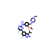 CCOc1cc(Nc2ncc(F)c(-c3cc(F)c4nn(C)c(C(C)C)c4c3)n2)ccc1CN1CCN(CC)CC1